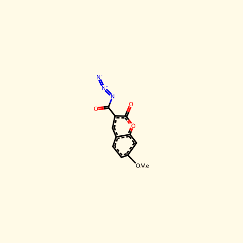 COc1ccc2cc(C(=O)N=[N+]=[N-])c(=O)oc2c1